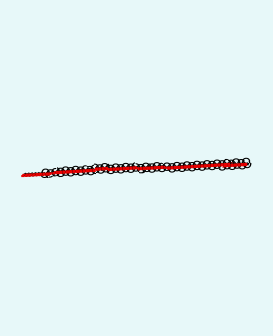 CCCCCCCCCCCCCOCCOCCOCCOCCOCCOCCOCCOCCOCCOCCOCCOCCOCCOCCOCCOCCOCCOCCOCCOCCOCCOCCOCCOCCOCCOCCOCCOCCOCCOCCOCCOCCOCCOCCOCCOCCOCCOCCOCCOCCOC